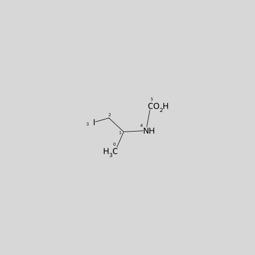 CC(CI)NC(=O)O